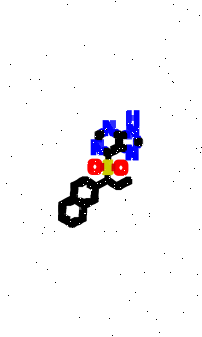 C=CC(c1ccc2ccccc2c1)S(=O)(=O)c1ncnc2[nH]cnc12